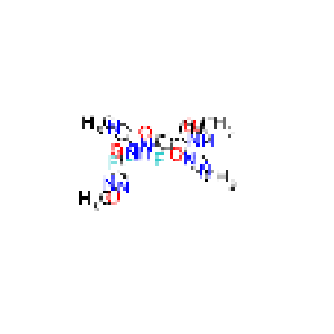 CCC(=O)N[C@@H](C(=O)N1CCN(C)CC1)[C@@H](C)c1ccc(NC(=O)[C@@H](NC(=O)C(F)(F)c2cnc(OC)nc2)C2CCN(C)CC2)c(F)c1